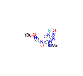 COc1cc(C(=O)NCC2CCN(C(=O)OC(C)(C)C)CC2)ccc1Nc1ncc2c(n1)N(C1CCCC1)CC(F)(F)C(=O)N2C